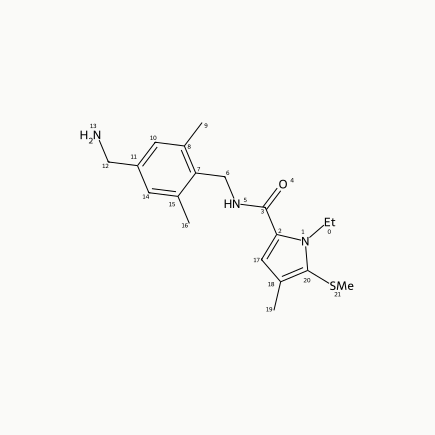 CCn1c(C(=O)NCc2c(C)cc(CN)cc2C)cc(C)c1SC